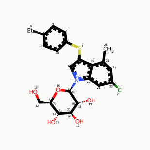 CCc1ccc(Sc2cn([C@@H]3O[C@H](CO)[C@@H](O)[C@H](O)[C@H]3O)c3cc(Cl)cc(C)c23)cc1